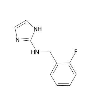 Fc1ccccc1CNc1ncc[nH]1